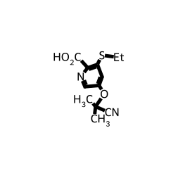 CCSc1cc(OC(C)(C)C#N)cnc1C(=O)O